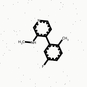 CNc1cnccc1-c1cc(F)ccc1C